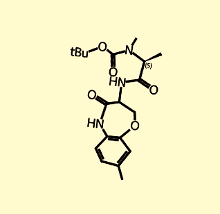 Cc1ccc2c(c1)OCC(NC(=O)[C@H](C)N(C)C(=O)OC(C)(C)C)C(=O)N2